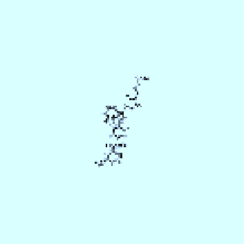 COC/C=C/C(=O)N(C)CCC1=C2C=NC=C[N+]2(N)C(c2ccc(C(=O)Nc3cc(C(F)(F)F)ccn3)cc2)=N1